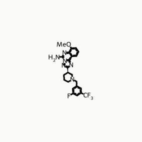 COc1cccc2c1nc(N)n1nc([C@@H]3CCCN(Cc4cc(F)cc(C(F)(F)F)c4)C3)nc21